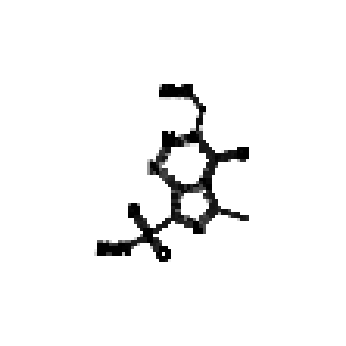 CNS(=O)(=O)c1nc(C)n2c(=O)n(CSC)nnc12